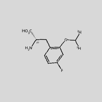 [2H]C([2H])Oc1cc(F)ccc1C[C@H](N)C(=O)O